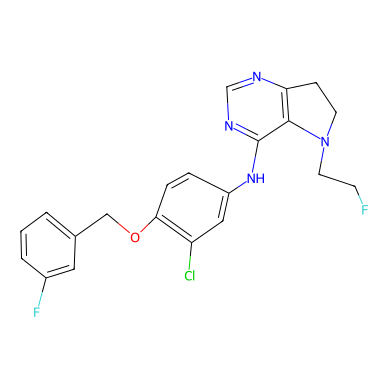 FCCN1CCc2ncnc(Nc3ccc(OCc4cccc(F)c4)c(Cl)c3)c21